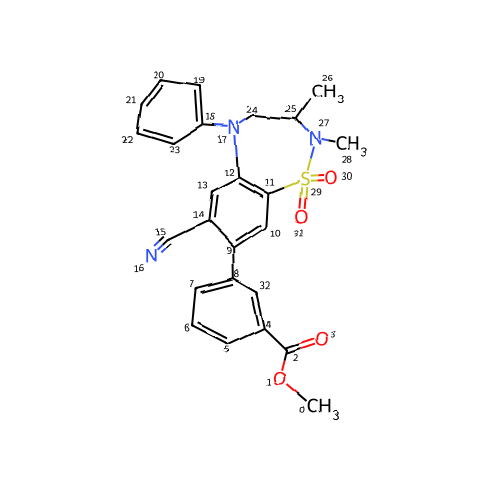 COC(=O)c1cccc(-c2cc3c(cc2C#N)N(c2ccccc2)CC(C)N(C)S3(=O)=O)c1